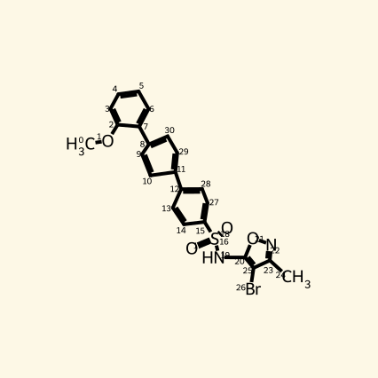 COc1ccccc1-c1ccc(-c2ccc(S(=O)(=O)Nc3onc(C)c3Br)cc2)cc1